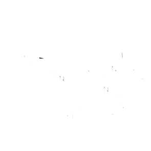 CCOC(=O)[C@@H](C)O/N=C/c1cc(-n2c(=O)cc(C(C)(F)F)n(C)c2=O)c(F)cc1Cl